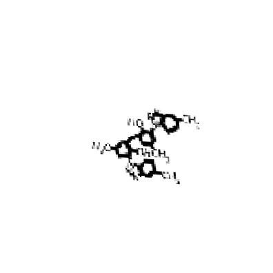 Cc1cc(Cc2cc(C)cc(-n3nnc4cc(C)ccc43)c2O)c(O)c(-n2nnc3cc(C)ccc32)c1